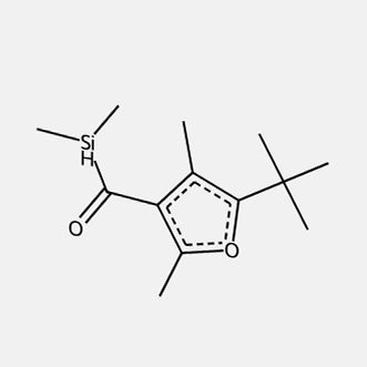 Cc1oc(C(C)(C)C)c(C)c1C(=O)[SiH](C)C